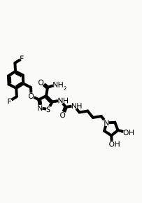 NC(=O)c1c(OCc2cc(CF)ccc2CF)nsc1NC(=O)NCCCCN1CC(O)C(O)C1